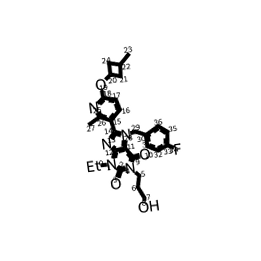 CCn1c(=O)n(CCCO)c(=O)c2c1nc(-c1ccc(OC3CC(C)C3)nc1C)n2Cc1ccc(F)cc1